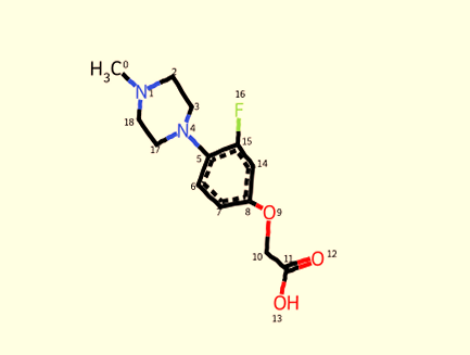 CN1CCN(c2ccc(OCC(=O)O)cc2F)CC1